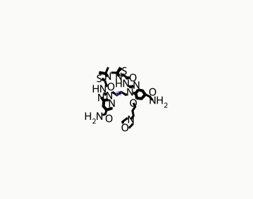 Cc1csc(C(=O)Nc2nc3cc(C(N)=O)cnc3n2C/C=C/Cn2c(NC(=O)c3nc(C)cs3)nc3cc(C(N)=O)cc(OCCCN4CCOCC4)c32)n1